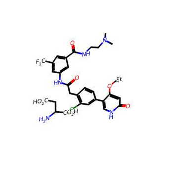 CCOc1cc(=O)[nH]cc1-c1ccc(CC(=O)Nc2cc(C(=O)NCCN(C)C)cc(C(F)(F)F)c2)c(F)c1.NC(CC(=O)O)C(=O)O